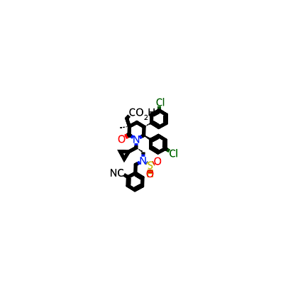 C[C@]1(CC(=O)O)C[C@H](c2cccc(Cl)c2)[C@@H](c2ccc(Cl)cc2)N([C@H](CN(Cc2ccccc2C#N)[SH](=O)=O)C2CC2)C1=O